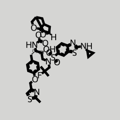 Cc1nc(COc2ccc(C[C@H](NC(=O)OC3C4COC5O[C@H]3CC5C4)[C@H](O)CN(CC(C)(C)F)S(=O)(=O)c3ccc4nc(NC5CC5)sc4c3)cc2)cs1